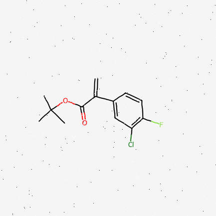 C=C(C(=O)OC(C)(C)C)c1ccc(F)c(Cl)c1